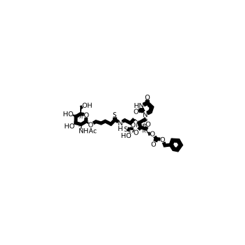 COP(O)(=S)OC1[C@@H](COC(=O)OCc2ccccc2)O[C@@H](n2ccc(=O)[nH]c2=O)[C@H]1CCCNC(=S)CCCCO[C@@H]1O[C@H](CO)[C@H](O)[C@H](O)[C@H]1NC(C)=O